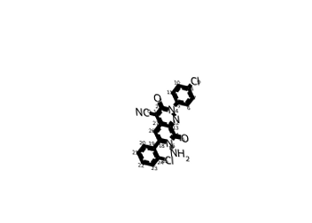 N#Cc1c(=O)n(-c2ccc(Cl)cc2)nc2c(=O)n(N)c(-c3ccccc3Cl)cc12